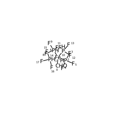 O=[CH][Fe]([PH](F)(F)F)([PH](F)(F)F)([PH](F)(F)F)[PH](F)(F)F